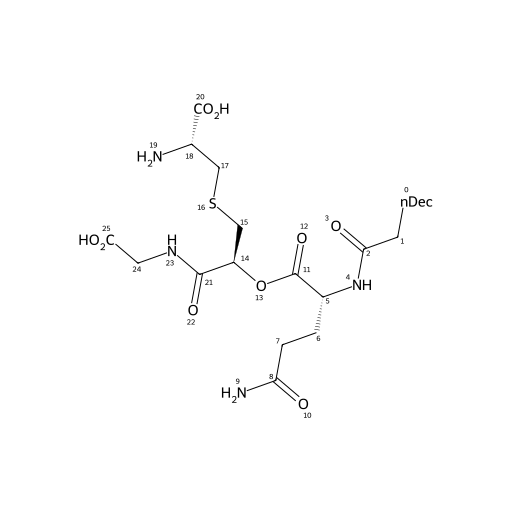 CCCCCCCCCCCC(=O)N[C@H](CCC(N)=O)C(=O)O[C@H](CSC[C@H](N)C(=O)O)C(=O)NCC(=O)O